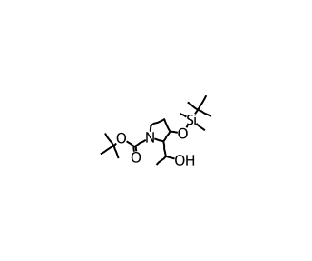 CC(O)C1C(O[Si](C)(C)C(C)(C)C)CCN1C(=O)OC(C)(C)C